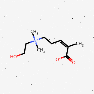 CC(=CCC[N+](C)(C)CCO)C(=O)[O-]